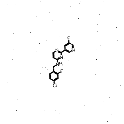 Fc1cncc(-c2nccc(NCc3ccc(Cl)cc3F)n2)c1